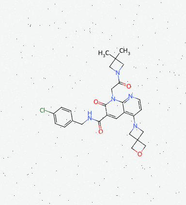 CC1(C)CN(C(=O)Cn2c(=O)c(C(=O)NCc3ccc(Cl)cc3)cc3c(N4CC5(COC5)C4)ccnc32)C1